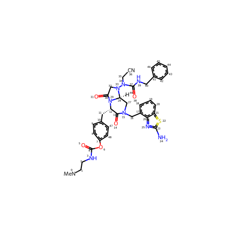 CNCCNC(=O)Oc1ccc(C[C@H]2C(=O)N(Cc3cccc4sc(N)nc34)C[C@H]3N2C(=O)CN3N(CC#N)C(=O)NCc2ccccc2)cc1